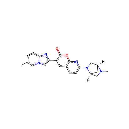 Cc1ccc2nc(-c3cc4ccc(N5C[C@@H]6C[C@H]5CN6C)nc4oc3=O)cn2c1